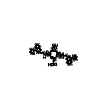 O=C(O)CCN1CCN(CC(=O)NCCN(CCc2ccccn2)Cc2ccccn2)CCN(CC(=O)O)CCN(CC(=O)NCCN(CCc2ccccn2)Cc2ccccn2)CC1